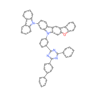 c1ccc(-c2ccc(-c3nc(-c4ccccc4)nc(-c4cccc(-n5c6cc(-n7c8ccccc8c8ccccc87)ccc6c6cc7c(cc65)oc5ccccc57)c4)n3)cc2)cc1